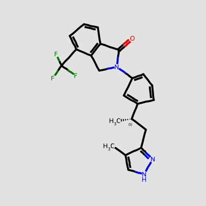 Cc1c[nH]nc1C[C@H](C)c1cccc(N2Cc3c(cccc3C(F)(F)F)C2=O)c1